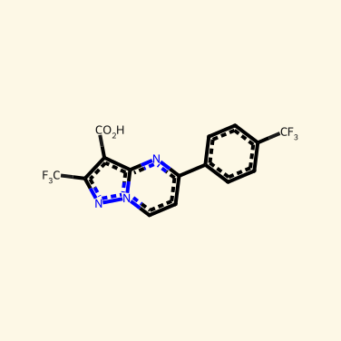 O=C(O)c1c(C(F)(F)F)nn2ccc(-c3ccc(C(F)(F)F)cc3)nc12